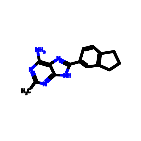 Cc1nc(N)c2nc(-c3ccc4c(c3)CCC4)[nH]c2n1